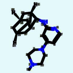 CN1CCN(c2ccnc(NC3C4C[C@H]5C[C@@H](C4)C[C@@H]3C5)c2)CC1